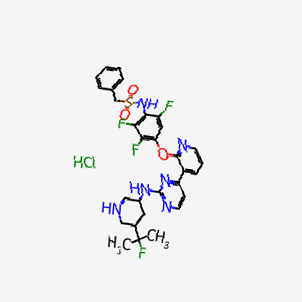 CC(C)(F)C1CNCC(Nc2nccc(-c3cccnc3Oc3cc(F)c(NS(=O)(=O)Cc4ccccc4)c(F)c3F)n2)C1.Cl